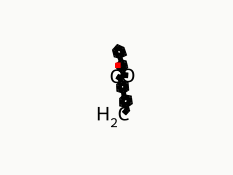 C=Cc1ccc(-c2ccc(C(=O)C(=O)c3ccc(-c4ccccc4)cc3)cc2)cc1